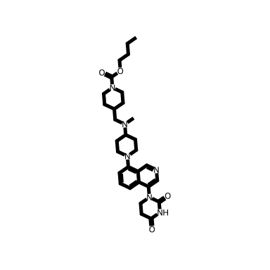 CCCCOC(=O)N1CCC(CN(C)C2CCN(c3cccc4c(N5CCC(=O)NC5=O)cncc34)CC2)CC1